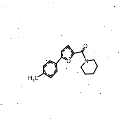 Cc1ccc(-c2ccc(C(=O)N3CCCCC3)o2)cc1